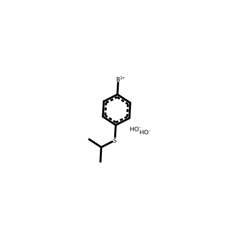 [B+2]c1ccc(SC(C)C)cc1.[OH-].[OH-]